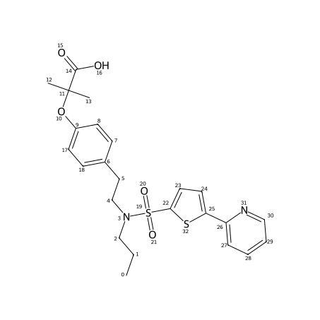 CCCN(CCc1ccc(OC(C)(C)C(=O)O)cc1)S(=O)(=O)c1ccc(-c2ccccn2)s1